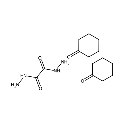 NNC(=O)C(=O)NN.O=C1CCCCC1.O=C1CCCCC1